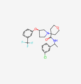 CC(NC(=O)C1(N2CC[C@@H](Oc3cccc(C(F)(F)F)c3)C2)CCOCC1)c1cccc(Cl)c1